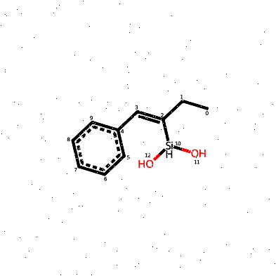 CCC(=Cc1ccccc1)[SiH](O)O